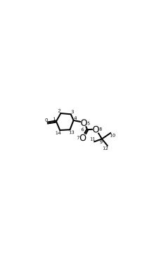 C=C1CCC(OC(=O)OC(C)(C)C)CC1